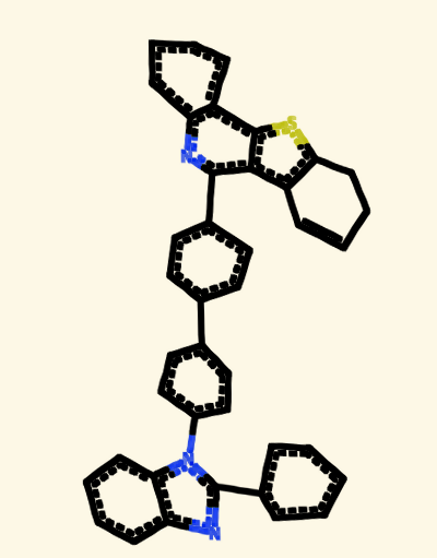 C1=Cc2c(sc3c2c(-c2ccc(-c4ccc(-n5c(-c6ccccc6)nc6ccccc65)cc4)cc2)nc2ccccc23)CC1